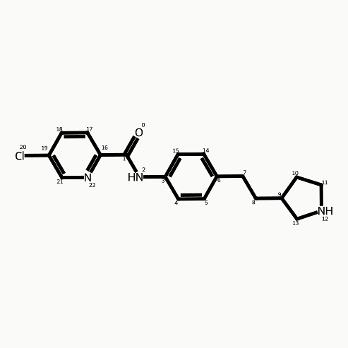 O=C(Nc1ccc(CCC2CCNC2)cc1)c1ccc(Cl)cn1